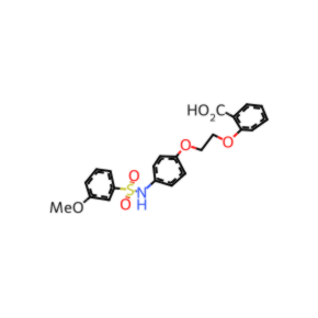 COc1cccc(S(=O)(=O)Nc2ccc(OCCOc3ccccc3C(=O)O)cc2)c1